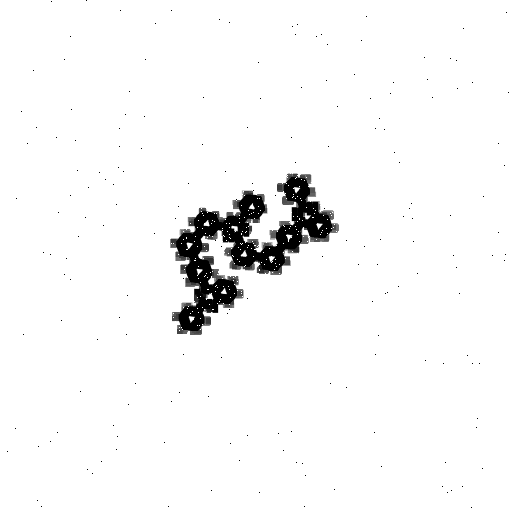 c1ccc(-c2cc(-c3cccc(-c4cccc(-c5ccc(-c6nc(-c7ccccc7)nc7ccccc67)cc5)c4)c3)nc(-c3cccc(-c4cccc(-c5ccc(-c6nc(-c7ccccc7)nc7ccccc67)cc5)c4)c3)n2)cc1